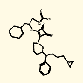 O=C(O)NC[C@H](CC1CCCCC1)Nc1c(N2CCCC(C(OCCC3CC3)c3ccccc3)C2)c(=O)c1=O